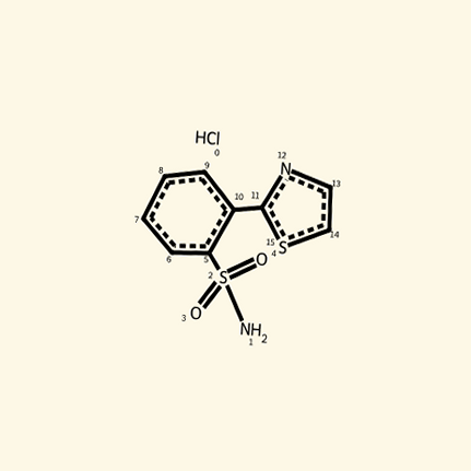 Cl.NS(=O)(=O)c1ccccc1-c1nccs1